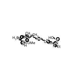 C=CC(=O)Nc1cc(Nc2nccc(-c3cn(C)c4ccccc34)n2)c(OC)cc1N(C)CCN(C)CCCN1CCN(CCCOc2ccc(CNc3cc(N4CCCC[C@H]4CCO)nc4c(CC)cnn34)cn2)CC1